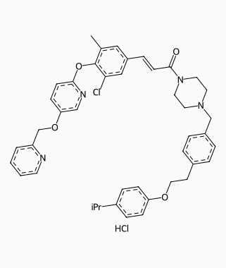 Cc1cc(/C=C/C(=O)N2CCN(Cc3ccc(CCOc4ccc(C(C)C)cc4)cc3)CC2)cc(Cl)c1Oc1ccc(OCc2ccccn2)cn1.Cl